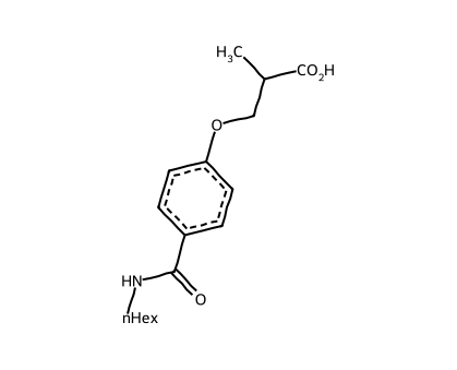 CCCCCCNC(=O)c1ccc(OCC(C)C(=O)O)cc1